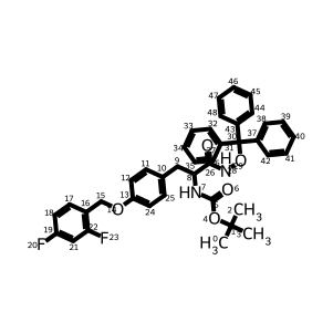 CC(C)(C)OC(=O)NC(Cc1ccc(OCc2ccc(F)cc2F)cc1)C(=O)NOC(c1ccccc1)(c1ccccc1)c1ccccc1